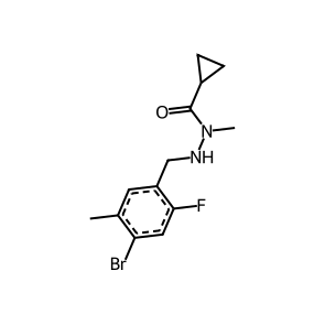 Cc1cc(CNN(C)C(=O)C2CC2)c(F)cc1Br